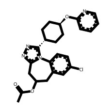 CC(=O)OC1Cc2cc(Cl)ccc2-n2c(nnc2[C@H]2CC[C@H](Oc3ccccn3)CC2)C1